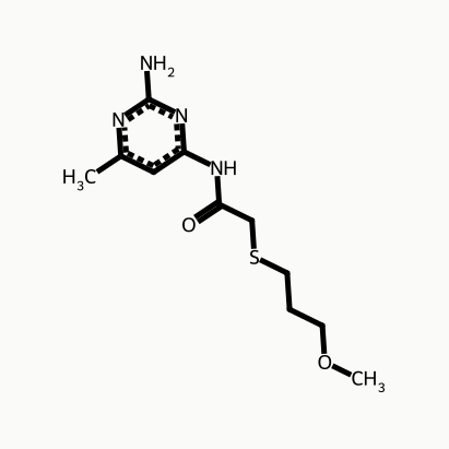 COCCCSCC(=O)Nc1cc(C)nc(N)n1